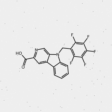 O=C(O)c1cc2c3ccccc3n(Cc3c(F)c(F)c(F)c(F)c3F)c2cn1